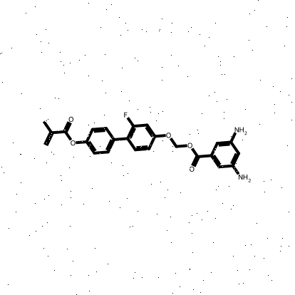 C=C(C)C(=O)Oc1ccc(-c2ccc(OCOC(=O)c3cc(N)cc(N)c3)cc2F)cc1